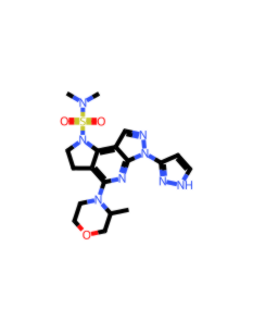 CC1COCCN1c1nc2c(cnn2-c2cc[nH]n2)c2c1CCN2S(=O)(=O)N(C)C